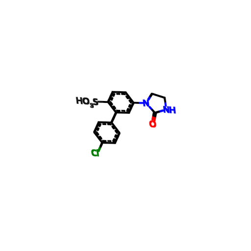 O=C1NCCN1c1ccc(S(=O)(=O)O)c(-c2ccc(Cl)cc2)c1